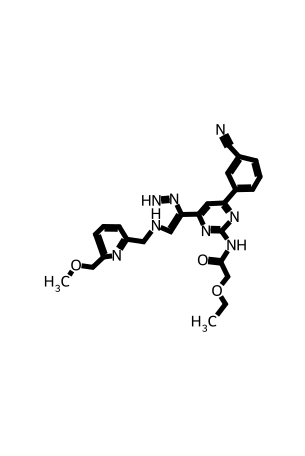 CCOCC(=O)Nc1nc(/C(=C/NCc2cccc(COC)n2)N=N)cc(-c2cccc(C#N)c2)n1